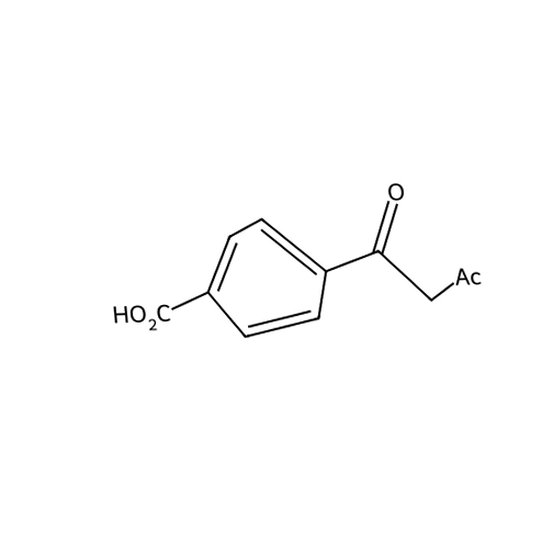 CC(=O)CC(=O)c1ccc(C(=O)O)cc1